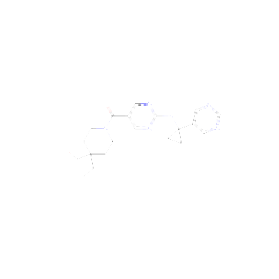 CCC1(CO)CCN(C(=O)c2cnc(NC3(c4cncnc4)CC3)nc2)CC1